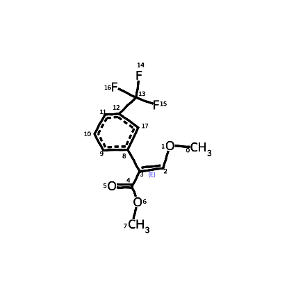 CO/C=C(/C(=O)OC)c1cccc(C(F)(F)F)c1